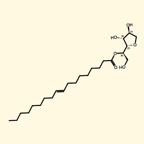 CCCCCCCCC=CCCCCCCCC(=O)O[C@H](CO)[C@H]1OC[C@H](O)[C@H]1O